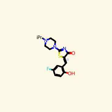 CC(C)N1CCN(C2=NC(=O)/C(=C/c3cc(F)ccc3O)S2)CC1